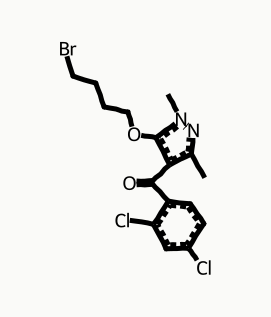 Cc1nn(C)c(OCCCCBr)c1C(=O)c1ccc(Cl)cc1Cl